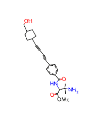 COC(=O)C(NC(=O)c1ccc(C#CC#CC2CCC(CO)CC2)cc1)C(C)(C)N